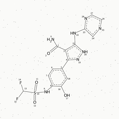 NC(=O)c1c(-c2ccc(NS(=O)(=O)C(F)F)c(O)c2)n[nH]c1Nc1cnccn1